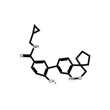 Cc1ccc(C(=O)NCC2CC2)cc1-c1ccc2c(c1)NOCC21CCCC1